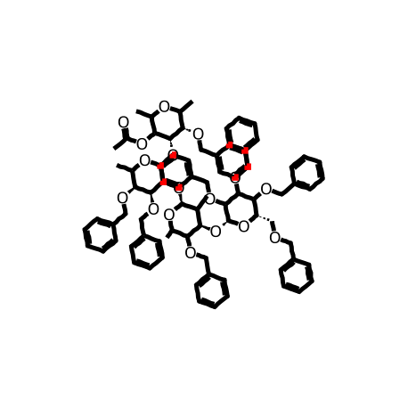 CC(=O)OC1C(C)OC(C)[C@H](OCc2ccccc2)[C@@H]1O[C@@H]1OC(C)[C@H](OCc2ccccc2)[C@H](OCc2ccccc2)C1O[C@@H]1OC(C)C(OCc2ccccc2)[C@H](O[C@H]2O[C@@H](COCc3ccccc3)C(OCc3ccccc3)C(OCc3ccccc3)C2OCc2ccccc2)C1C